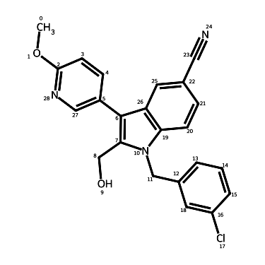 COc1ccc(-c2c(CO)n(Cc3cccc(Cl)c3)c3ccc(C#N)cc23)cn1